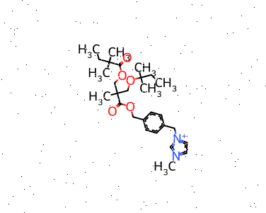 CCC(C)(C)OCC(C)(COC(=O)C(C)(C)CC)C(=O)OCc1ccc(C[n+]2ccn(C)c2)cc1